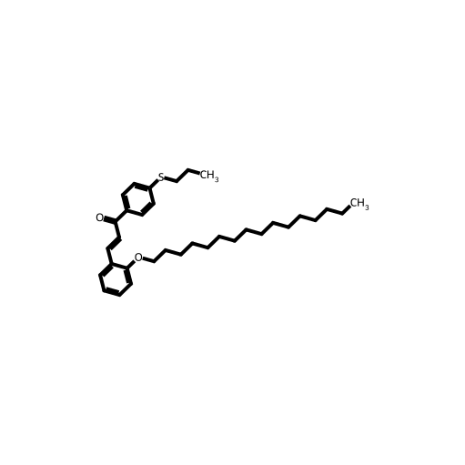 CCCCCCCCCCCCCCCCOc1ccccc1C=CC(=O)c1ccc(SCCC)cc1